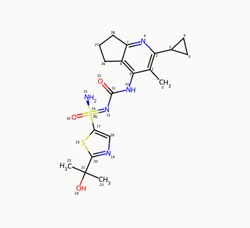 Cc1c(C2CC2)nc2c(c1NC(=O)N=[S@@](N)(=O)c1cnc(C(C)(C)O)s1)CCC2